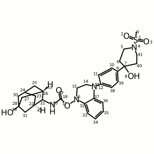 CS(=O)(=O)N1CCC(O)(c2ccc(N3CCN(OC(=O)NC4[C@@H]5CC6C[C@H]4CC(O)(C6)C5)c4ccccc43)cc2)CC1